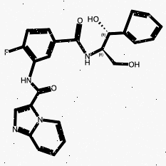 O=C(N[C@H](CO)[C@H](O)c1ccccc1)c1ccc(F)c(NC(=O)c2cnc3ccccn23)c1